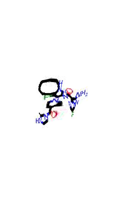 C[C@H]1CN(C(=O)C2CCN(C3C(NC(=O)c4c(N)nn5cc(F)cnc45)CNC4(CCCCCCCCC4)C3F)CC2)CCN1